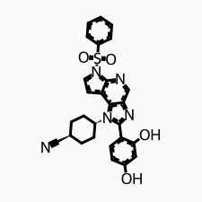 N#C[C@H]1CC[C@H](n2c(-c3ccc(O)cc3O)nc3cnc4c(ccn4S(=O)(=O)c4ccccc4)c32)CC1